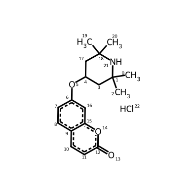 CC1(C)CC(Oc2ccc3ccc(=O)oc3c2)CC(C)(C)N1.Cl